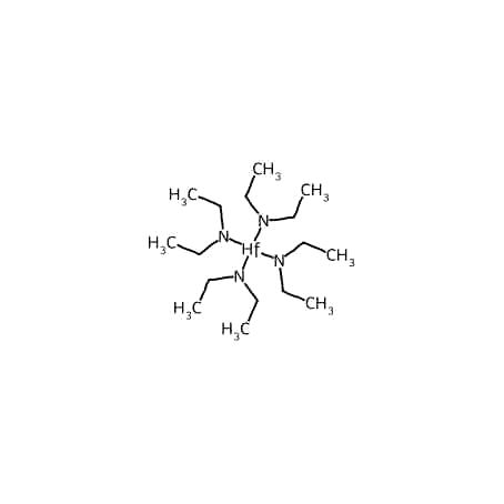 CC[N](CC)[Hf]([N](CC)CC)([N](CC)CC)[N](CC)CC